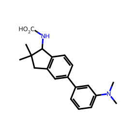 CN(C)c1cccc(-c2ccc3c(c2)CC(C)(C)C3NC(=O)O)c1